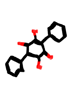 O=C1C(O)=C(c2ccccc2)C(=O)C(O)=C1c1ccccc1